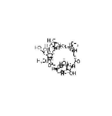 C=C1C[C@@H]2CCC(=O)C[C@@H]3O[C@H]4[C@@H](O)[C@H]5O[C@H](CC[C@@H]5O[C@H]4[C@H]3O)CC(=O)C[C@H]3C(C[C@H]4O[C@@H](CC[C@@H]1O2)C[C@@H](C)C4=C)O[C@H](C[C@H](O)CO)[C@@H]3OC